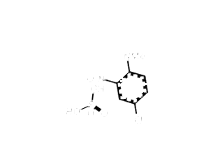 CNc1ccc(Cl)cc1[N+](=O)[O-].O=[PH](O)O